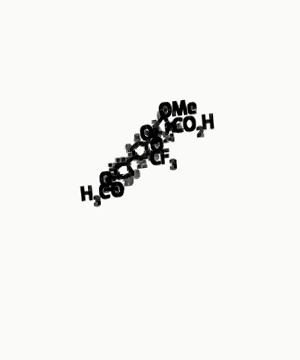 CO[C@@H]1C[C@H](S(=O)(=O)c2ccc(-c3ccc(S(C)(=O)=O)cc3)cc2C(F)(F)F)C[C@H]1C(=O)O